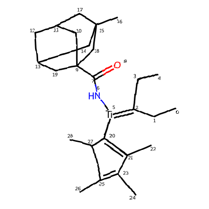 CC[C](CC)=[Ti]([NH]C(=O)C12CC3CC(CC(C)(C3)C1)C2)[C]1=C(C)C(C)=C(C)C1C